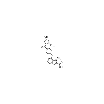 CN1C[C@H](O)C[C@@H]1C(=O)N1CCN(Cc2cccc3cc(C(=O)O)n(C)c23)CC1